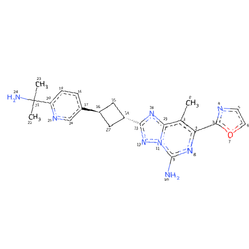 Cc1c(-c2ncco2)nc(N)n2nc([C@H]3C[C@H](c4ccc(C(C)(C)N)nc4)C3)nc12